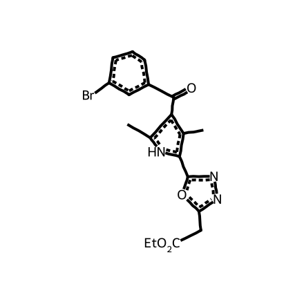 CCOC(=O)Cc1nnc(-c2[nH]c(C)c(C(=O)c3cccc(Br)c3)c2C)o1